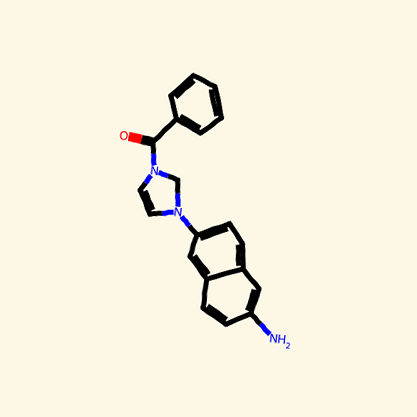 Nc1ccc2cc(N3C=CN(C(=O)c4ccccc4)C3)ccc2c1